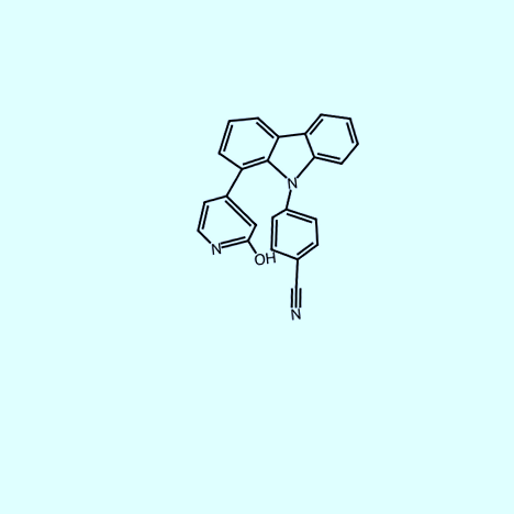 N#Cc1ccc(-n2c3ccccc3c3cccc(-c4ccnc(O)c4)c32)cc1